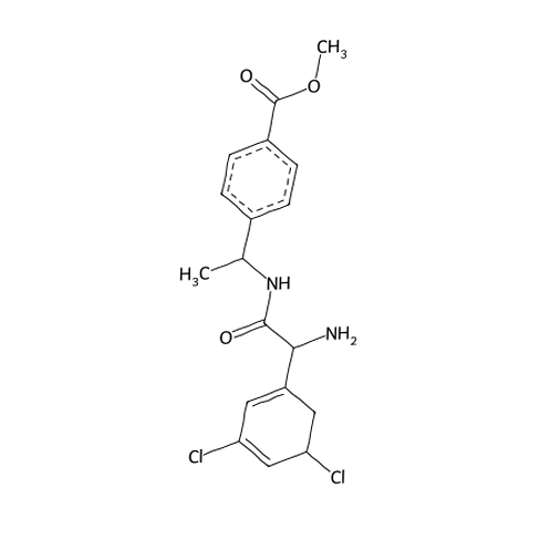 COC(=O)c1ccc(C(C)NC(=O)C(N)C2=CC(Cl)=CC(Cl)C2)cc1